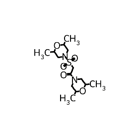 CC1CN(C(=O)CS(=O)(=O)N2CC(C)OC(C)C2)CC(C)O1